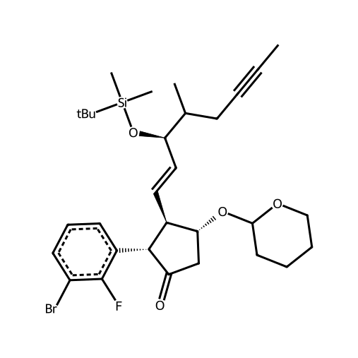 CC#CCC(C)[C@@H](/C=C/[C@@H]1[C@@H](c2cccc(Br)c2F)C(=O)C[C@H]1OC1CCCCO1)O[Si](C)(C)C(C)(C)C